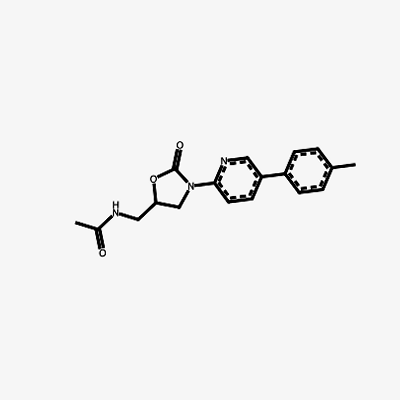 CC(=O)NCC1CN(c2ccc(-c3ccc(C)cc3)cn2)C(=O)O1